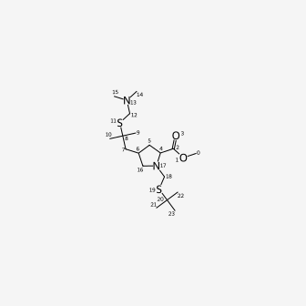 COC(=O)C1CC(CC(C)(C)SCN(C)C)CN1CSC(C)(C)C